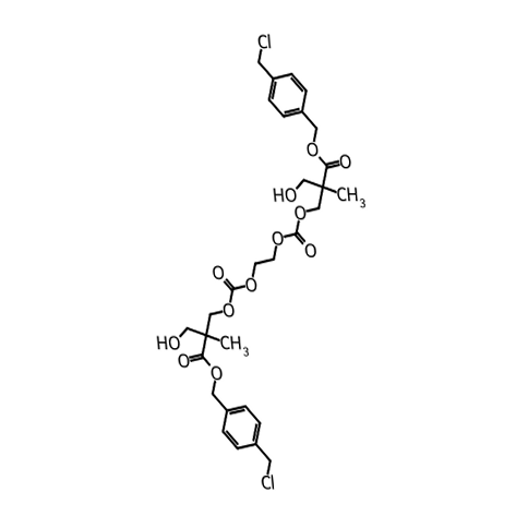 CC(CO)(COC(=O)OCCOC(=O)OCC(C)(CO)C(=O)OCc1ccc(CCl)cc1)C(=O)OCc1ccc(CCl)cc1